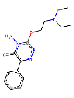 CCN(CC)CCOc1nnc(-c2ccccc2)c(=O)n1N